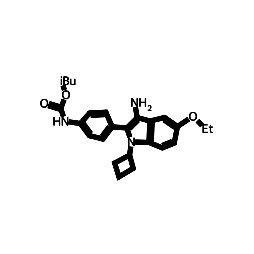 CCOc1ccc2c(c1)c(N)c(-c1ccc(NC(=O)OC(C)CC)cc1)n2C1CCC1